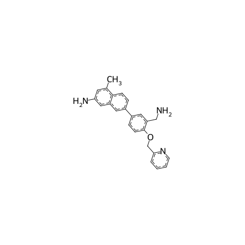 Cc1cc(N)cc2cc(-c3ccc(OCc4ccccn4)c(CN)c3)ccc12